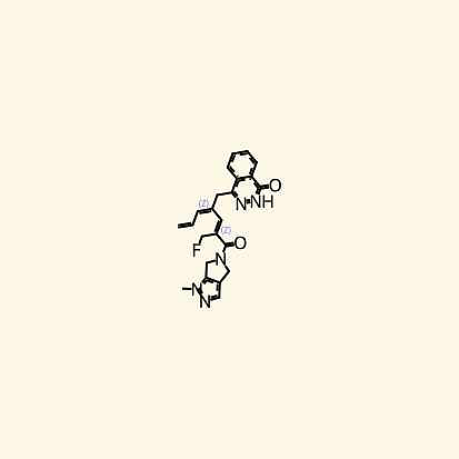 C=C/C=C(\C=C(/CF)C(=O)N1Cc2cnn(C)c2C1)Cc1n[nH]c(=O)c2ccccc12